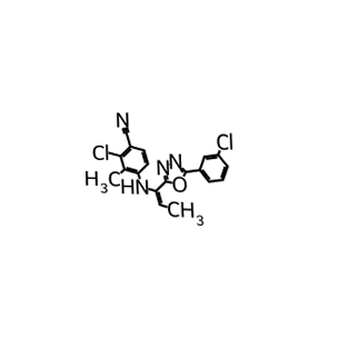 C/C=C(/Nc1ccc(C#N)c(Cl)c1C)c1nnc(-c2cccc(Cl)c2)o1